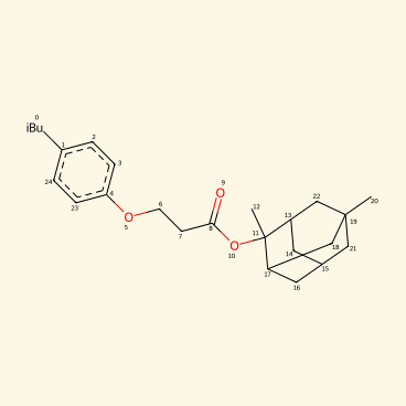 CCC(C)c1ccc(OCCC(=O)OC2(C)C3CC4CC2CC(C)(C4)C3)cc1